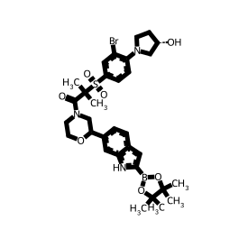 CC1(C)OB(c2cc3ccc(C4CN(C(=O)C(C)(C)S(=O)(=O)c5ccc(N6CC[C@H](O)C6)c(Br)c5)CCO4)cc3[nH]2)OC1(C)C